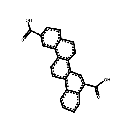 O=C(O)c1ccc2ccc3c(ccc4c5ccccc5c(C(=O)O)cc43)c2c1